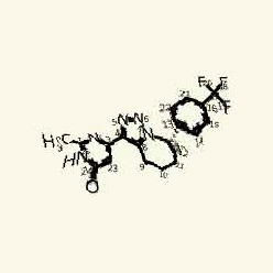 Cc1nc(-c2nnn3c2CCC[C@H]3c2ccc(C(F)(F)F)cc2)cc(=O)[nH]1